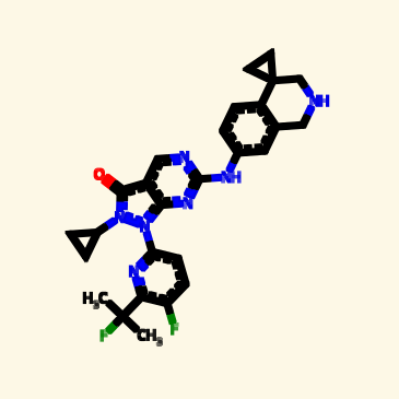 CC(C)(F)c1nc(-n2c3nc(Nc4ccc5c(c4)CNCC54CC4)ncc3c(=O)n2C2CC2)ccc1F